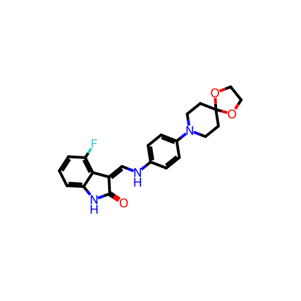 O=C1Nc2cccc(F)c2C1=CNc1ccc(N2CCC3(CC2)OCCO3)cc1